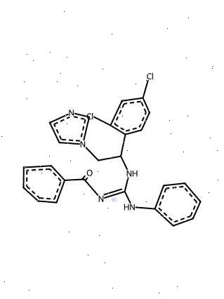 O=C(/N=C(/Nc1ccccc1)NC(Cn1ccnc1)c1ccc(Cl)cc1Cl)c1ccccc1